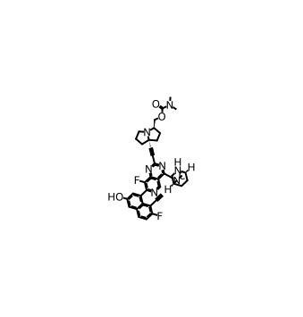 C#Cc1c(F)ccc2cc(O)cc(-c3ncc4c(N5C[C@H]6CC[C@@H]5CN6)nc(C#C[C@]56CCCN5[C@@H](COC(=O)N(C)C)CC6)nc4c3F)c12